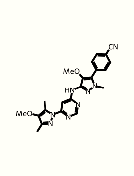 COc1c(Nc2cc(-n3nc(C)c(OC)c3C)ncn2)nn(C)c1-c1ccc(C#N)cc1